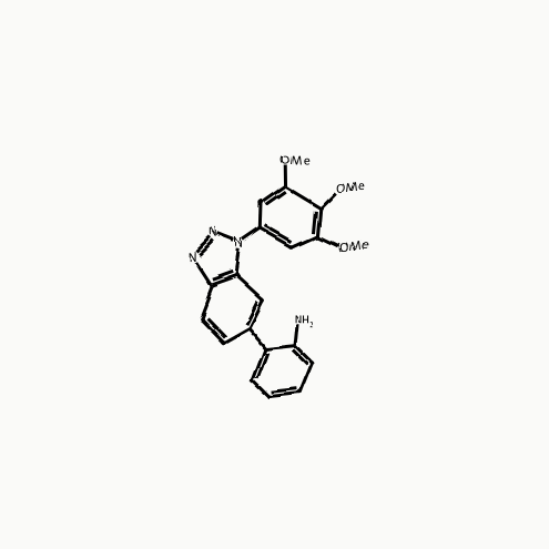 COc1cc(-n2nnc3ccc(-c4ccccc4N)cc32)cc(OC)c1OC